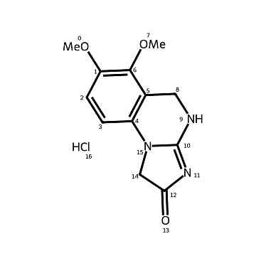 COc1ccc2c(c1OC)CNC1=NC(=O)CN12.Cl